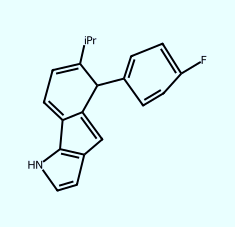 CC(C)C1=CC=C2C(=Cc3cc[nH]c32)C1c1ccc(F)cc1